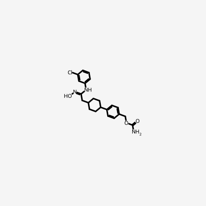 NC(=O)OCc1ccc(C2CCC(C/C(=N\O)Nc3cccc(Cl)c3)CC2)cc1